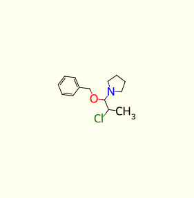 CC(Cl)C(OCc1ccccc1)N1CCCC1